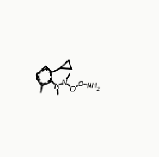 Cc1cccc(C2CC2)c1N(C)N(C)OON